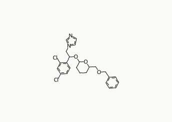 Clc1ccc(C(Cn2ccnc2)OC2CCCC(COCc3ccccc3)O2)c(Cl)c1